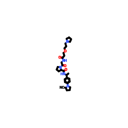 CC(NC(=O)C1CCCN1C(=O)CNC(=O)CCOCCCN1CCCC1)c1ccc(N2CCCC2C#N)cc1